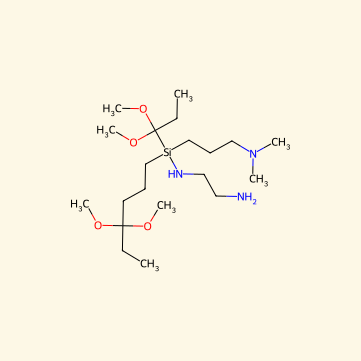 CCC(CCC[Si](CCCN(C)C)(NCCN)C(CC)(OC)OC)(OC)OC